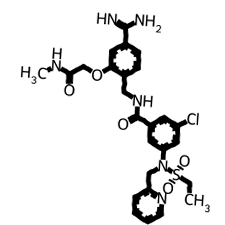 CCS(=O)(=O)N(Cc1ccccn1)c1cc(Cl)cc(C(=O)NCc2ccc(C(=N)N)cc2OCC(=O)NC)c1